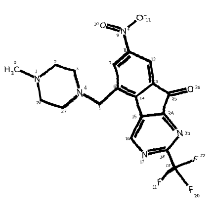 CN1CCN(Cc2cc([N+](=O)[O-])cc3c2-c2cnc(C(F)(F)F)nc2C3=O)CC1